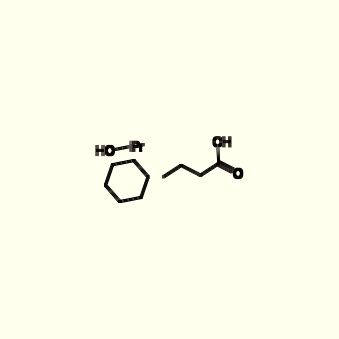 C1CCCCC1.CC(C)O.CCCC(=O)O